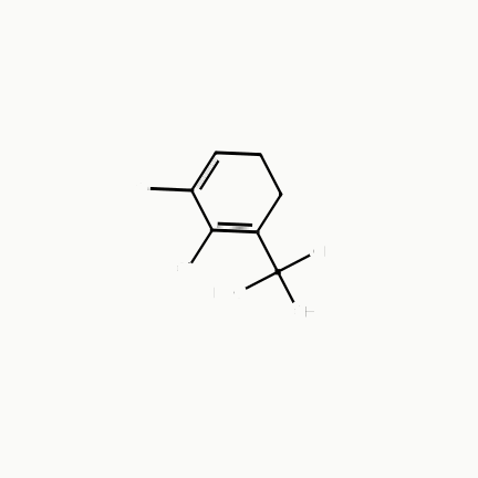 CC(C)(C)C1=C(Cl)C(Cl)=CC[CH]1